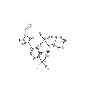 O=CC1NN=C(c2ccc(C(F)(F)F)c(N[C@@H](C3CCNCC3)C(F)(F)F)c2)O1